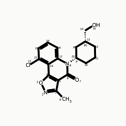 Cc1noc2c1c(=O)n([C@H]1CCC[C@@H](CO)C1)c1cccc(Cl)c21